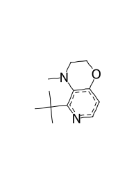 CN1CCOc2ccnc(C(C)(C)C)c21